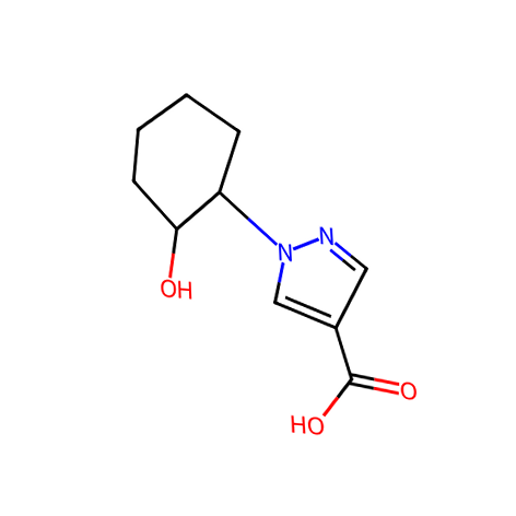 O=C(O)c1cnn(C2CCCCC2O)c1